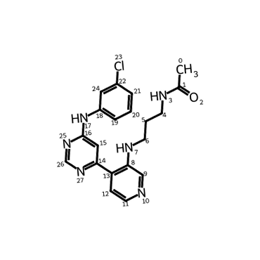 CC(=O)NCCCNc1cnccc1-c1cc(Nc2cccc(Cl)c2)ncn1